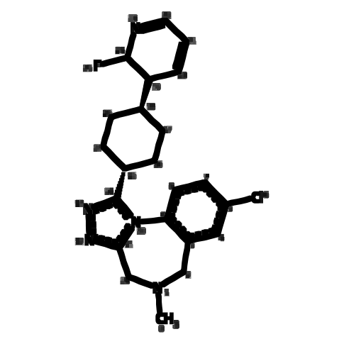 CN1Cc2cc(Cl)ccc2-n2c(nnc2[C@H]2CC[C@H](C3C=CC=NC3F)CC2)C1